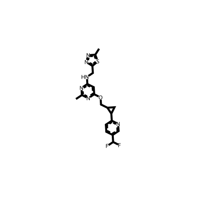 Cc1nc(NCc2nnc(C)s2)cc(OCC2CC2c2ccc(C(F)F)cn2)n1